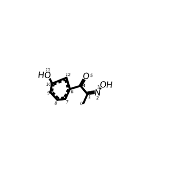 C/C(=N/O)C(=O)c1cccc(O)c1